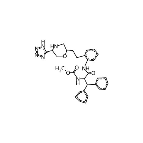 COC(=O)NC(C(=O)Nc1ccccc1CC[C@@H]1CN[C@H](c2nnn[nH]2)CO1)C(c1ccccc1)c1ccccc1